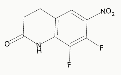 O=C1CCc2cc([N+](=O)[O-])c(F)c(F)c2N1